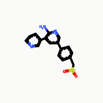 Nc1ncc(-c2ccc(C[SH](=O)=O)cc2)cc1-c1cccnc1